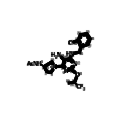 CC(=O)N[C@H]1CCN(c2nc(O[C@@H](C)C(F)(F)F)nc(NCc3ccccc3Cl)c2N)C1